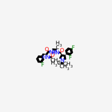 CC(=O)N[C@@H](Cc1cccc(F)c1)C(=O)NC[C@H](C)NC(=O)[C@@H]1CN(C(C)(C)C)C[C@H]1c1ccc(F)cc1F